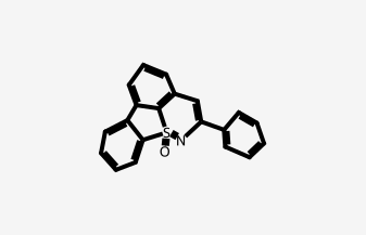 O=S12=NC(c3ccccc3)=Cc3cccc(c31)-c1ccccc12